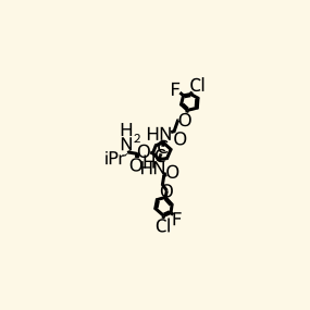 CC(C)[C@H](N)C(=O)O[C@@H]1CC2(NC(=O)COc3ccc(Cl)c(F)c3)CCC1(NC(=O)COc1ccc(Cl)c(F)c1)CC2